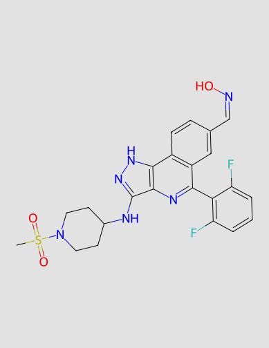 CS(=O)(=O)N1CCC(Nc2n[nH]c3c2nc(-c2c(F)cccc2F)c2cc(/C=N\O)ccc23)CC1